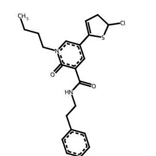 CCCCn1cc(C2=CCC(Cl)S2)cc(C(=O)NCCc2ccccc2)c1=O